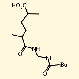 CCC(C)C(=O)NCNC(=O)C(C)CCC(C)C(=O)O